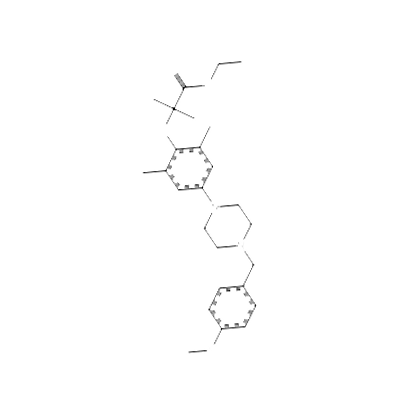 CCOC(=O)C(C)(C)Oc1c(C)cc(N2CCN(Cc3ccc(SC)cc3)CC2)cc1C